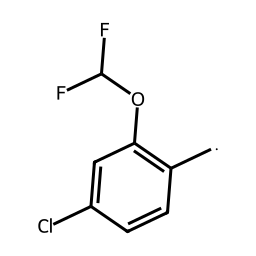 [CH2]c1ccc(Cl)cc1OC(F)F